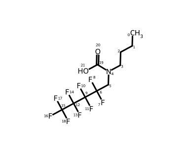 CCCCN(CC(F)(F)C(F)(F)C(F)(F)C(F)(F)F)C(=O)O